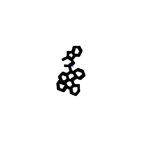 C/C(=C\c1c(C)sc2ccccc12)c1c2ccccc2c(C2=CCCC=C2c2ccccc2)c2ccccc12